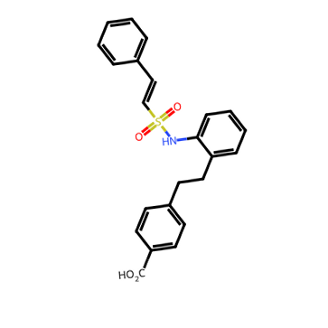 O=C(O)c1ccc(CCc2ccccc2NS(=O)(=O)/C=C/c2ccccc2)cc1